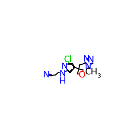 Cn1cnnc1CC1(c2cc(Cl)nc(NCCC#N)c2)COC1